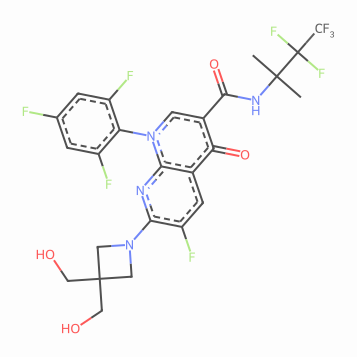 CC(C)(NC(=O)c1cn(-c2c(F)cc(F)cc2F)c2nc(N3CC(CO)(CO)C3)c(F)cc2c1=O)C(F)(F)C(F)(F)F